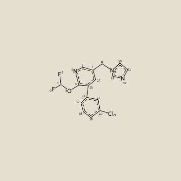 FC(F)Oc1ncc(Cn2ccnc2)cc1-c1cccc(Cl)c1